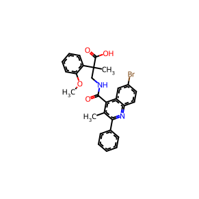 COc1ccccc1C(C)(CNC(=O)c1c(C)c(-c2ccccc2)nc2ccc(Br)cc12)C(=O)O